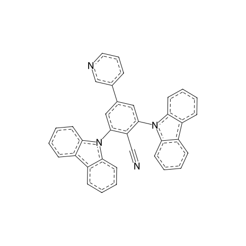 N#Cc1c(-n2c3ccccc3c3ccccc32)cc(-c2cccnc2)cc1-n1c2ccccc2c2ccccc21